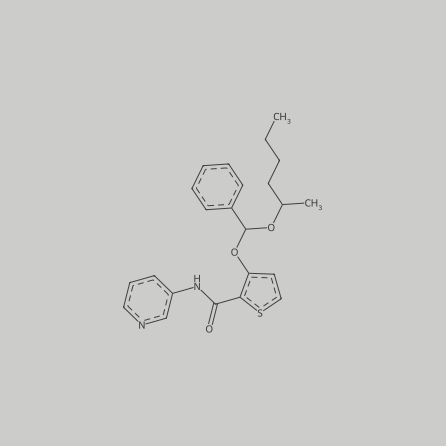 CCCCC(C)OC(Oc1ccsc1C(=O)Nc1cccnc1)c1ccccc1